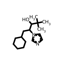 CC(C)(C)C(O)C(CC1CCCCC1)n1ccnc1